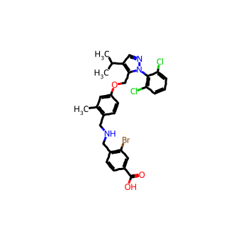 Cc1cc(OCc2c(C(C)C)cnn2-c2c(Cl)cccc2Cl)ccc1CNCc1ccc(C(=O)O)cc1Br